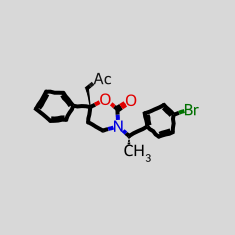 CC(=O)C[C@]1(c2ccccc2)CCN([C@@H](C)c2ccc(Br)cc2)C(=O)O1